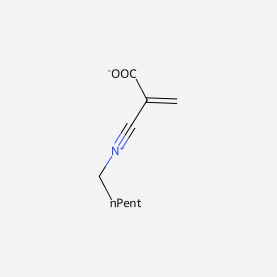 C=C(C#[N+]CCCCCC)C(=O)[O-]